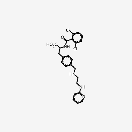 O=C(NC(Cc1ccc(CNCCNc2ccccn2)cc1)C(=O)O)c1c(Cl)cccc1Cl